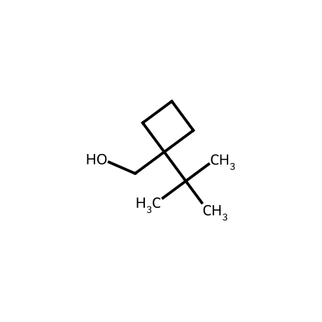 CC(C)(C)C1(CO)CCC1